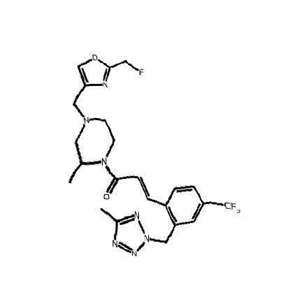 Cc1nnn(Cc2cc(C(F)(F)F)ccc2C=CC(=O)N2CCN(Cc3coc(CF)n3)CC2C)n1